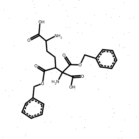 NC(CCC(C(=O)OCc1ccccc1)C(N)(C(=O)O)C(=O)OCc1ccccc1)C(=O)O